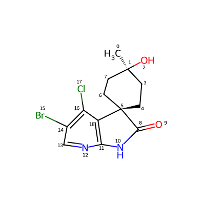 C[C@]1(O)CC[C@@]2(CC1)C(=O)Nc1ncc(Br)c(Cl)c12